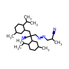 CC(C#N)CN=NCC(C#N)(CC1CC(C)CCC1C(C)C)C1CC(C)CCC1C(C)C